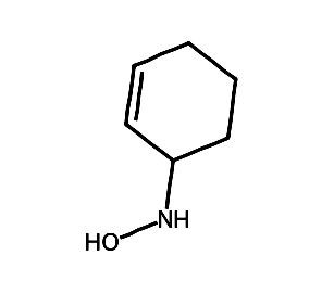 ONC1C=CCCC1